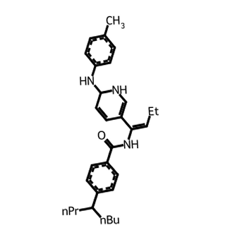 CCC=C(NC(=O)c1ccc(C(CCC)CCCC)cc1)C1=CNC(Nc2ccc(C)cc2)C=C1